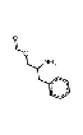 NC(COC=O)Cc1ccccc1